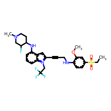 CCS(=O)(=O)c1ccc(NCC#Cc2cc3c(NC4CCN(C)CC4F)cccc3n2CC(F)(F)F)c(OC)c1